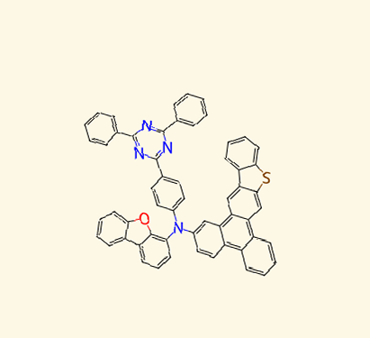 c1ccc(-c2nc(-c3ccccc3)nc(-c3ccc(N(c4ccc5c6ccccc6c6cc7sc8ccccc8c7cc6c5c4)c4cccc5c4oc4ccccc45)cc3)n2)cc1